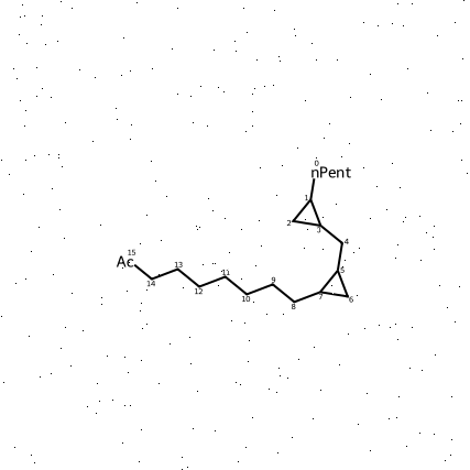 CCCCCC1CC1CC1CC1CCCCCCCC(C)=O